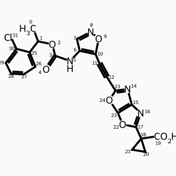 CC(OC(=O)Nc1cnoc1C#Cc1nc2nc(C3(C(=O)O)CC3)oc2o1)c1ccccc1Cl